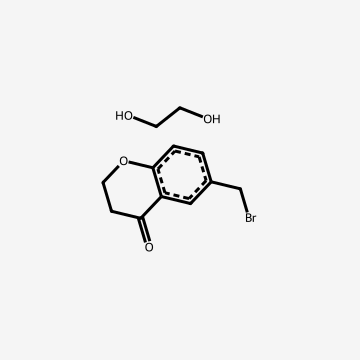 O=C1CCOc2ccc(CBr)cc21.OCCO